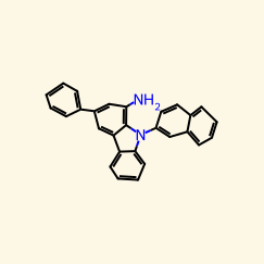 Nc1cc(-c2ccccc2)cc2c3ccccc3n(-c3ccc4ccccc4c3)c12